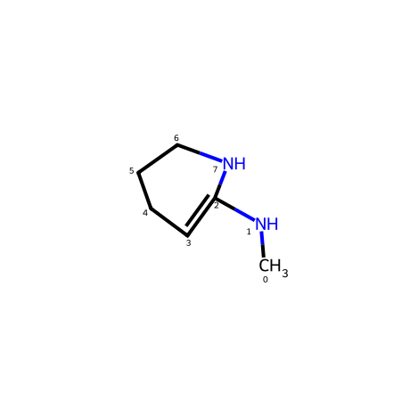 CNC1=CCCCN1